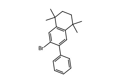 CC1(C)CCC(C)(C)c2cc(-c3ccccc3)c(Br)cc21